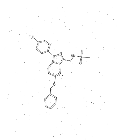 CS(=O)(=O)NCc1nn(-c2ccc(C(F)(F)F)cc2)c2ccc(OCc3ccccc3)cc12